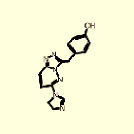 Oc1ccc(Cc2nnc3ccc(N4C=NCC4)nn23)cc1